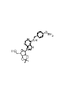 CC1(C)OC2C(CO)OC(n3cnc4c(NCc5ccc(OP)cc5)ncnc43)C2O1